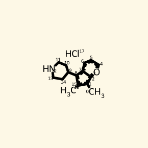 Cc1c2occcc-2c(C2CCNCC2)c1C.Cl